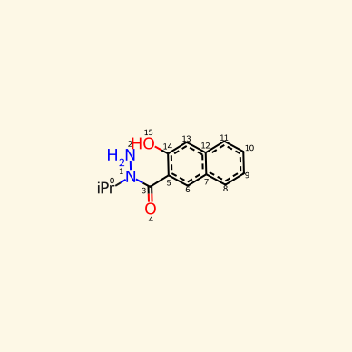 CC(C)N(N)C(=O)c1cc2ccccc2cc1O